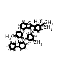 Cc1cccc(N(C2=C3Oc4ccccc4C3CCC2)c2cc(C)cc(-n3c4ccc(C(C)(C)C)cc4c4sc5ccccc5c43)c2)c1